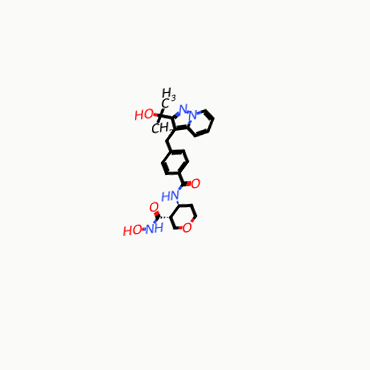 CC(C)(O)c1nn2ccccc2c1Cc1ccc(C(=O)N[C@@H]2CCOC[C@@H]2C(=O)NO)cc1